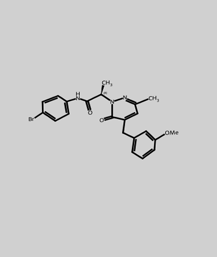 COc1cccc(Cc2cc(C)nn([C@H](C)C(=O)Nc3ccc(Br)cc3)c2=O)c1